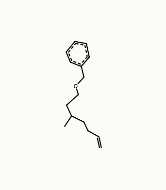 C=CCCC(C)CCOCc1ccccc1